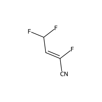 N#C/C(F)=C/C(F)F